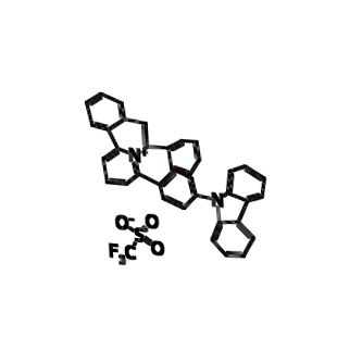 O=S(=O)([O-])C(F)(F)F.c1ccc(-c2cc3ccccc3c3cccc(-c4ccc(-n5c6ccccc6c6ccccc65)cc4)[n+]23)cc1